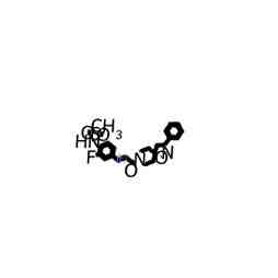 CS(=O)(=O)Nc1ccc(/C=C/C(=O)N2CCC3(CC2)CC(c2ccccc2)=NO3)cc1F